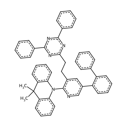 CC1(C)c2ccccc2N(c2ncc(-c3ccccc3-c3ccccc3)cc2CCc2nc(-c3ccccc3)nc(-c3ccccc3)n2)c2ccccc21